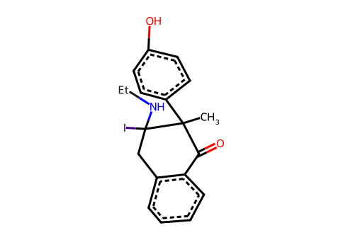 CCNC1(I)Cc2ccccc2C(=O)C1(C)c1ccc(O)cc1